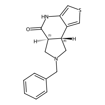 O=C1Nc2cscc2[C@@H]2CN(Cc3ccccc3)C[C@@H]12